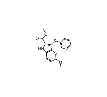 COC(=O)c1[nH]c2ccc(OC)cc2c1Sc1ccccc1